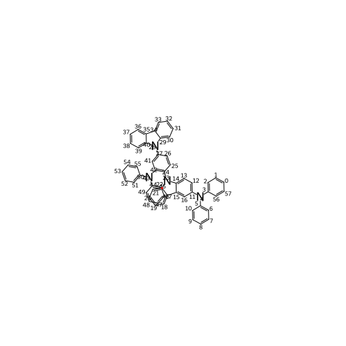 c1ccc(N(c2ccccc2)c2ccc3c(c2)c2ccccc2n3-c2ccc(-n3c4ccccc4c4ccccc43)cc2N(c2ccccc2)c2ccccc2)cc1